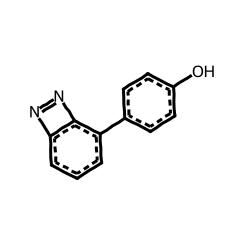 Oc1ccc(-c2cccc3c2N=N3)cc1